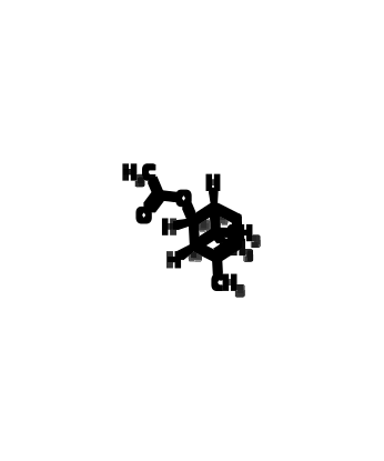 CC(=O)O[C@H]1[C@H]2C(C)=CC[C@@H]1C2(C)C